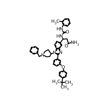 Cc1ccccc1NC(=O)NC(CC(N)=O)c1ccc2c(c1)nc(-c1cccc(Oc3ccc(C(C)(C)C)cc3)c1)n2C1CCN(Cc2ccccc2)CC1